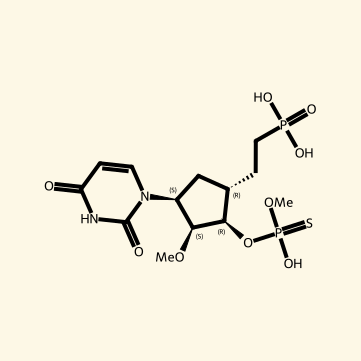 CO[C@@H]1[C@H](OP(O)(=S)OC)[C@@H](CCP(=O)(O)O)C[C@@H]1n1ccc(=O)[nH]c1=O